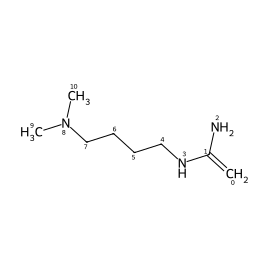 C=C(N)NCCCCN(C)C